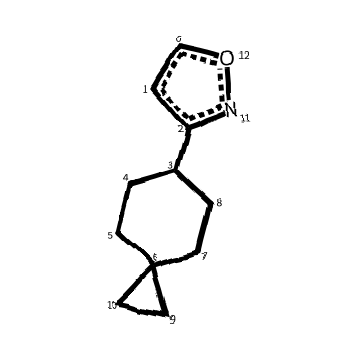 c1cc(C2CCC3(CC2)CC3)no1